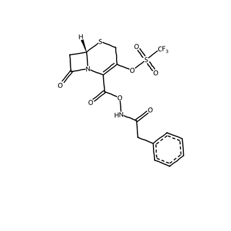 O=C(Cc1ccccc1)NOC(=O)C1=C(OS(=O)(=O)C(F)(F)F)CS[C@H]2CC(=O)N12